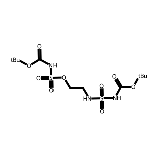 CC(C)(C)OC(=O)NS(=O)(=O)NCCOS(=O)(=O)NC(=O)OC(C)(C)C